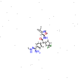 CN/N=C(\N)c1ccc(C(C(=O)Nc2cc(C(C)C)no2)C2CCC(F)(F)C2)cc1